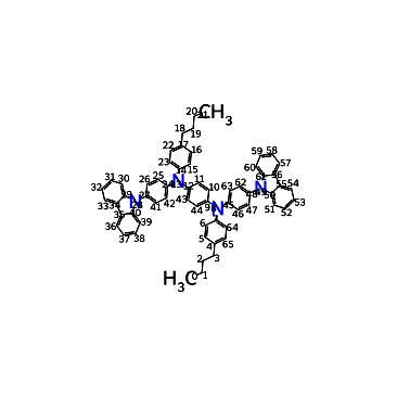 CCCCc1ccc(N(c2ccc(N(c3ccc(CCCC)cc3)c3ccc(-n4c5ccccc5c5ccccc54)cc3)cc2)c2ccc(-n3c4ccccc4c4ccccc43)cc2)cc1